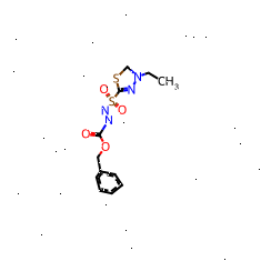 CCN1CSC(S(=O)(=O)N=NC(=O)OCc2ccccc2)=N1